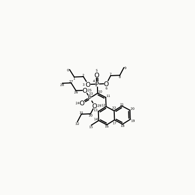 CCCOP(=O)(OCCC)C(=Cc1cc(C)cc2ccccc12)P(=O)(OCCC)OCCC